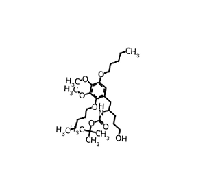 CCCCCOc1cc(CC(CCCO)NC(=O)OC(C)(C)C)c(OCCCCC)c(OC)c1OC